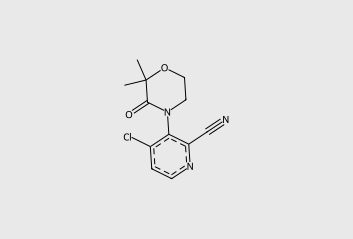 CC1(C)OCCN(c2c(Cl)ccnc2C#N)C1=O